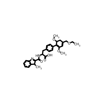 CCOCC1=CC(OC)=C(c2ccc(CC(NC(=O)C3=Nc4ccccc4C3C)C(=O)O)cc2)C(OC)C1